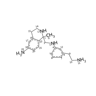 CC1(CNc2cccc(CCN)c2)NCCc2cc(N)ccc21